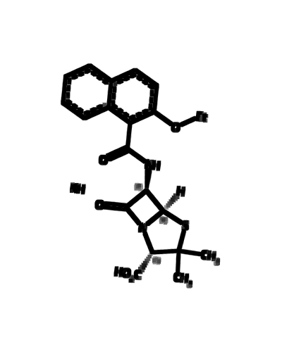 CCOc1ccc2ccccc2c1C(=O)N[C@@H]1C(=O)N2[C@@H]1SC(C)(C)[C@@H]2C(=O)O.[KH]